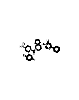 CC(C)N[C@@H]1CCN(C(=O)N2CC[C@@H](Cn3cnc(-c4ccccc4)cc3=O)C3(CCCC3)C2)[C@H](c2cc(F)ccc2F)C1